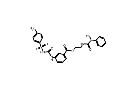 Cc1ccc(S(=O)(=O)NC(=O)Nc2cccc(C(=O)OCCNC(=O)N(S)c3ccccc3)c2)cc1